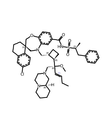 CC/C=C/[C@](CN1CCN2CCCC[C@@H]2C1)(OC)[C@@H]1CC[C@H]1CN1C[C@@]2(CCCc3cc(Cl)ccc32)COc2ccc(C(=O)NS(=O)(=O)[C@@H](C)Cc3ccccc3)cc21